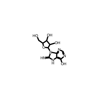 N=c1[nH]c2c(O)ncnc2n1C1OC(CO)C(O)C1O